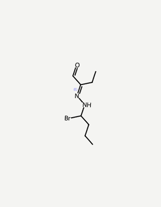 CCCC(Br)N/N=C(/C=O)CC